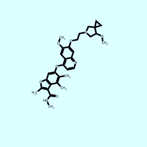 CNC(=O)c1c(C)oc2cc(Oc3ccnc4cc(OCCN5CC(OC)C6(CC6)C5)c(OC)cc34)c(C)c(C)c12